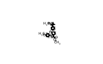 CCOC(=O)c1nn(-c2ccc(OC)cc2)c2c1CCN(c1ccc(C3(CNC)CC3)cc1)C2=O